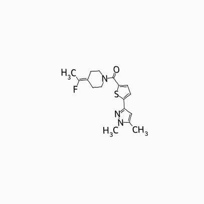 CC(F)=C1CCN(C(=O)c2ccc(-c3cc(C)n(C)n3)s2)CC1